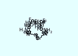 COC[C@@H]1CCCN1CCCc1cc(-c2ccc(NC(=O)Nc3cc(C(F)(F)F)ccc3F)c(F)c2)c2c(N)ncnn12.Nc1ncnn2c(CCCBr)cc(-c3ccc(NC(=O)Nc4cc(C(F)(F)F)ccc4F)c(F)c3)c12